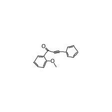 COc1ccccc1C(=O)C#Cc1ccccc1